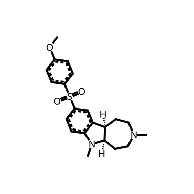 COc1ccc(S(=O)(=O)c2ccc3c(c2)[C@H]2CCN(C)CC[C@H]2N3C)cc1